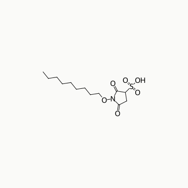 CCCCCCCCCON1C(=O)CC(S(=O)(=O)O)C1=O